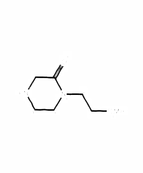 COCCN1CC[N]CC1=O